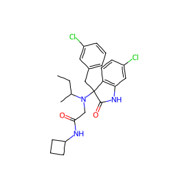 CCC(C)N(CC(=O)NC1CCC1)C1(Cc2cccc(Cl)c2)C(=O)Nc2cc(Cl)ccc21